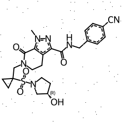 Cn1nc(C(=O)NCc2ccc(C#N)cc2)c2c1C(=O)N(CC1(S(=O)(=O)N3CC[C@@H](O)C3)CC1)CC2